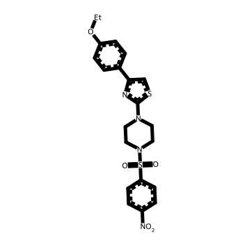 CCOc1ccc(-c2csc(N3CCN(S(=O)(=O)c4ccc([N+](=O)[O-])cc4)CC3)n2)cc1